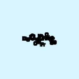 CCOc1cccc(-n2c(=O)n(C(C)C)c3cc(C(=O)N[C@@]4(C)CCS(=O)(=O)C4)cnc32)c1